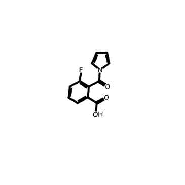 O=C(O)c1cccc(F)c1C(=O)n1cccc1